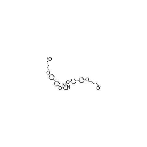 c1cc(Oc2ccc(-c3ccc(OCCCCC4CO4)cc3)cc2)nc(Oc2ccc(-c3ccc(OCCCCC4CO4)cc3)cc2)n1